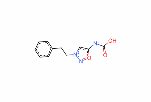 O=C(O)[N-]c1c[n+](CCc2ccccc2)no1